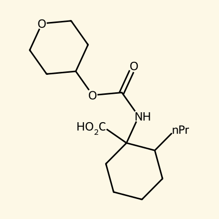 CCCC1CCCCC1(NC(=O)OC1CCOCC1)C(=O)O